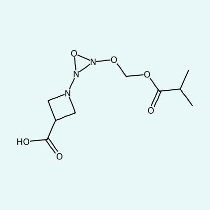 CC(C)C(=O)OCOn1on1N1CC(C(=O)O)C1